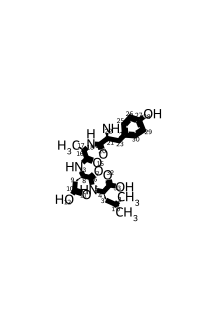 CC(C)C[C@H](NC(=O)[C@H](CC(=O)O)NC(=O)[C@H](C)NC(=O)[C@@H](N)Cc1ccc(O)cc1)C(=O)O